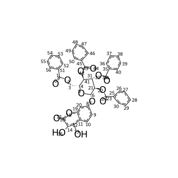 O=C(OC[C@H]1O[C@@H](Oc2ccc3c(O)c(O)c(=O)oc3c2)[C@H](OC(=O)c2ccccc2)[C@@H](OC(=O)c2ccccc2)[C@@H]1OC(=O)c1ccccc1)c1ccccc1